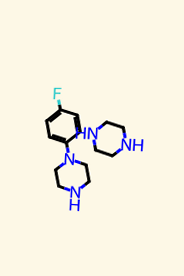 C1CNCCN1.Fc1ccc(N2CCNCC2)cc1